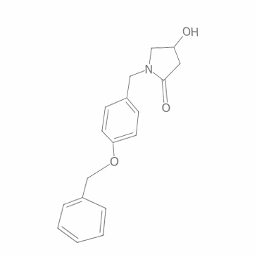 O=C1CC(O)CN1Cc1ccc(OCc2ccccc2)cc1